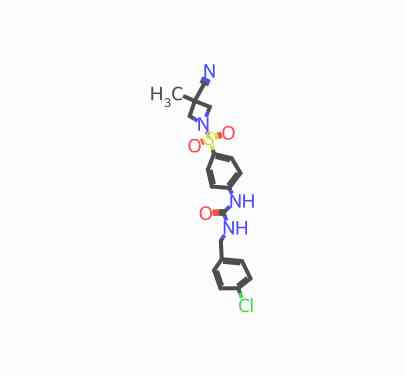 CC1(C#N)CN(S(=O)(=O)c2ccc(NC(=O)NCc3ccc(Cl)cc3)cc2)C1